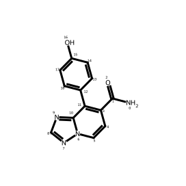 NC(=O)c1ccn2n[c]nc2c1-c1ccc(O)cc1